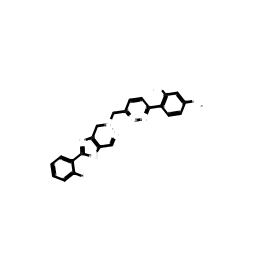 CCOc1ccc(-c2ccc(CN3Cc4nc(-c5ccccc5F)[nH]c4C=N3)nn2)c(C(F)(F)F)c1